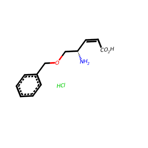 Cl.N[C@@H](/C=C\C(=O)O)COCc1ccccc1